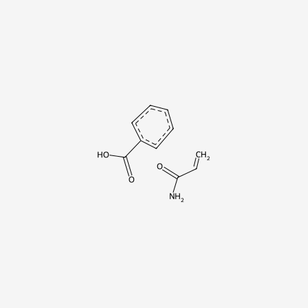 C=CC(N)=O.O=C(O)c1ccccc1